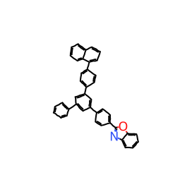 c1ccc(-c2cc(-c3ccc(-c4nc5ccccc5o4)cc3)cc(-c3ccc(-c4cccc5ccccc45)cc3)c2)cc1